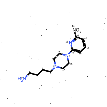 NCCCCN1CCN(c2cccc([N+](=O)[O-])n2)CC1